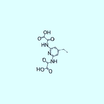 CCc1cc(NC(=O)C(=O)O)nc(NC(=O)C(=O)O)c1